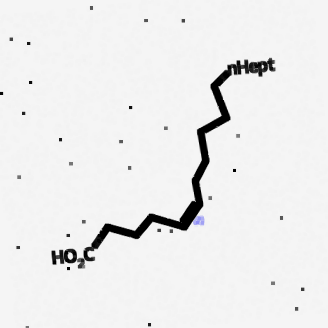 CCCCCCCCCCCC/C=C\CCCC(=O)O